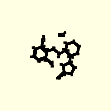 Cl.O=C1CCN([C@@H]2CCCC[C@H]2OCc2c(Cl)cccc2Cl)C1